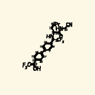 CC(C)C[C@H](N[C@@H](c1ccc(-c2ccc(C(O)C(F)(F)F)cc2)cc1)C(F)(F)F)C(=O)NCC#N